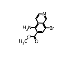 COC(=O)c1cc(Br)c2cnccc2c1N